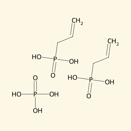 C=CCP(=O)(O)O.C=CCP(=O)(O)O.O=P(O)(O)O